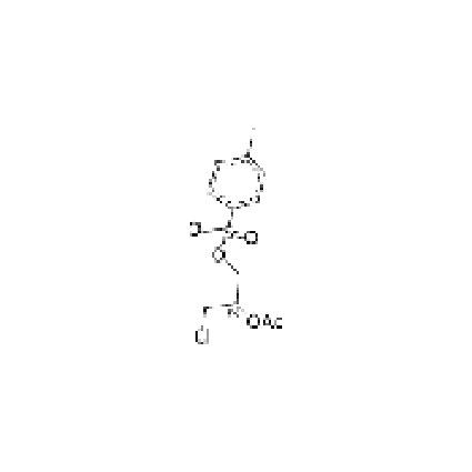 CC(=O)O[C@H](CCl)COS(=O)(=O)c1ccc(C)cc1